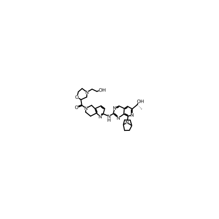 C[C@@H](O)c1cc2cnc(Nc3ccc4c(n3)CCN(C(=O)C3CN(CCO)CCO3)C4)nc2c(N2C3CCC2CC3)n1